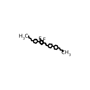 CCCCCC1C=CC(c2ccc(/C=C/C3CCC(C4CCC(CCCC)CC4)CC3)c(F)c2F)CC1